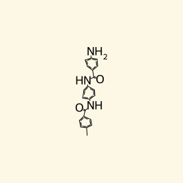 Cc1ccc(C(=O)Nc2ccc(NC(=O)c3ccc(N)cc3)cc2)cc1